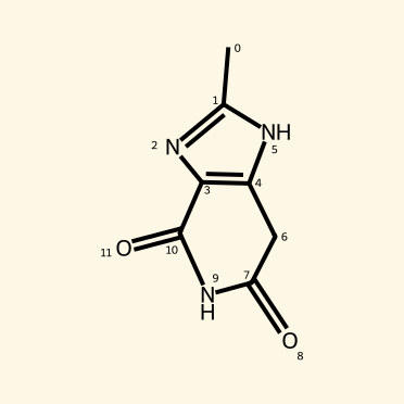 Cc1nc2c([nH]1)CC(=O)NC2=O